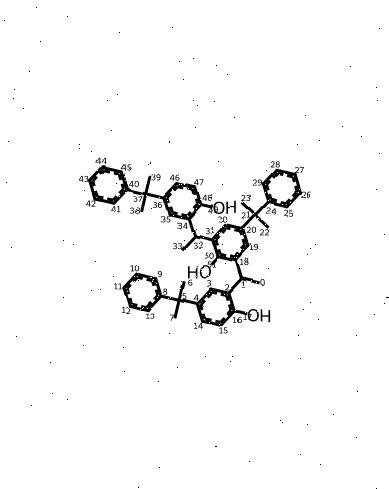 CC(c1cc(C(C)(C)c2ccccc2)ccc1O)c1cc(C(C)(C)c2ccccc2)cc(C(C)c2cc(C(C)(C)c3ccccc3)ccc2O)c1O